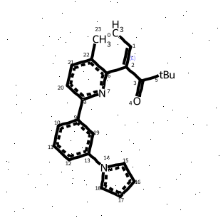 C/C=C(/C(=O)C(C)(C)C)c1nc(-c2cccc(-n3cccc3)c2)ccc1C